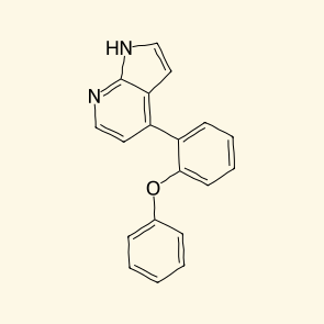 c1ccc(Oc2ccccc2-c2ccnc3[nH]ccc23)cc1